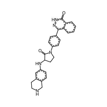 O=C1C(Nc2ccc3c(c2)CCNC3)CCN1c1ccc(-c2n[nH]c(=O)c3ccccc23)cc1